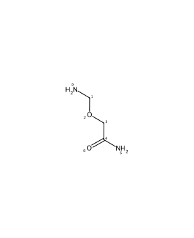 NCOCC(N)=O